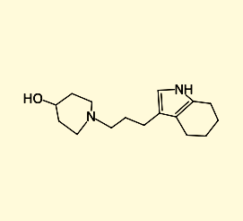 OC1CCN(CCCc2c[nH]c3c2CCCC3)CC1